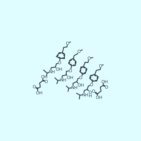 COCCc1ccc(OCC(O)CNC(C)C)cc1.COCCc1ccc(OCC(O)CNC(C)C)cc1.COCCc1ccc(OCC(O)CNC(C)C)cc1.COCCc1ccc(OCC(O)CNC(C)C)cc1.O=C(O)CCC(=O)O.O=C(O)CCC(=O)O